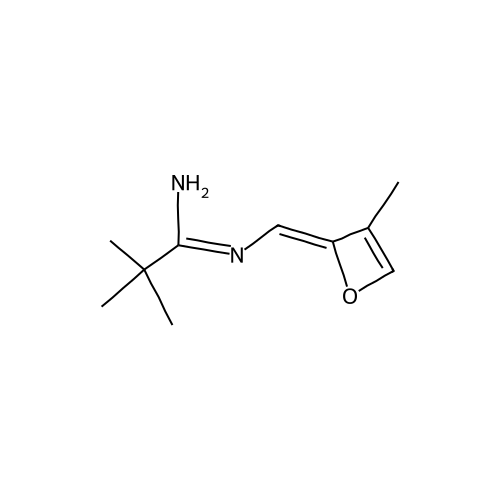 CC1=CO/C1=C\N=C(/N)C(C)(C)C